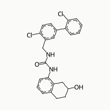 O=C(NCc1cc(-c2ccccc2Cl)ccc1Cl)Nc1cccc2c1CC(O)CC2